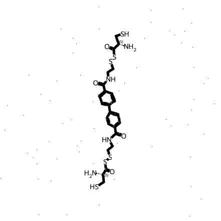 N[C@@H](CS)C(=O)SSCCNC(=O)c1ccc(-c2ccc(C(=O)NCCSSC(=O)[C@@H](N)CS)cc2)cc1